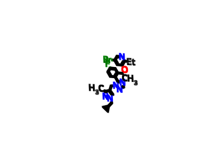 CCc1ncc(Br)cc1O[C@H](C)c1cc(F)ccc1-c1ncnn1Cc1cn(CC2CC2)nc1C